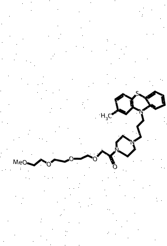 COCCOCCOCCOCC(=O)N1CCN(CCCN2c3ccccc3Sc3ccc(C)cc32)CC1